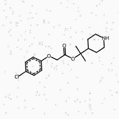 CC(C)(OC(=O)COc1ccc(Cl)cc1)C1CCNCC1